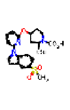 CC(C)(C)C1CC(Oc2cccc(-n3ccc4cc(S(C)(=O)=O)ccc43)n2)CCN1C(=O)O